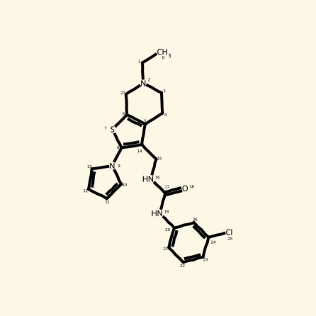 CCN1CCc2c(sc(-n3cccc3)c2CNC(=O)Nc2cccc(Cl)c2)C1